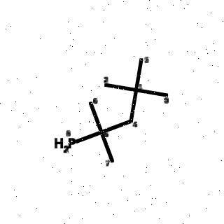 CC(C)(C)CC(C)(C)P